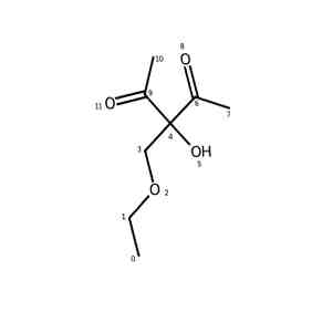 CCOCC(O)(C(C)=O)C(C)=O